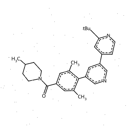 Cc1cc(C(=O)N2CCC(C)CC2)cc(C)c1-c1cncc(-c2ccnc(C(C)(C)C)c2)c1